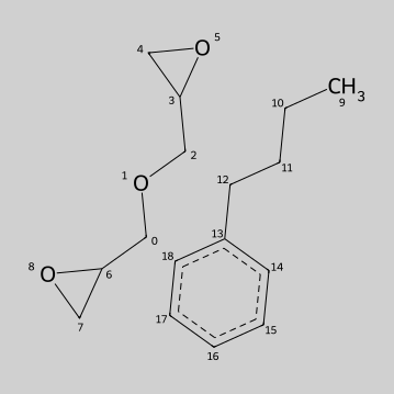 C(OCC1CO1)C1CO1.CCCCc1ccccc1